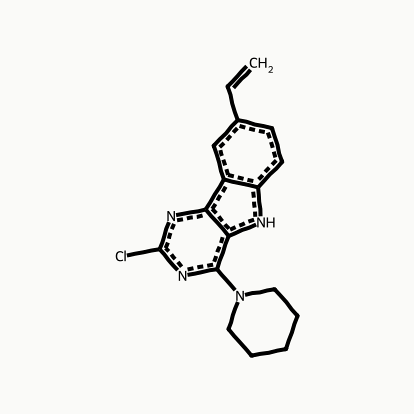 C=Cc1ccc2[nH]c3c(N4CCCCC4)nc(Cl)nc3c2c1